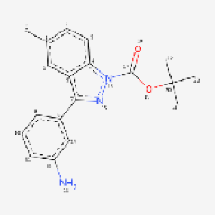 Cc1ccc2c(c1)c(-c1cccc(N)c1)nn2C(=O)OC(C)(C)C